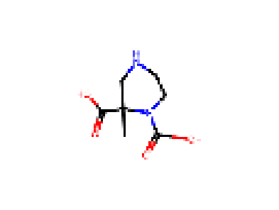 CC1(C(=O)O)CNCCN1C(=O)O